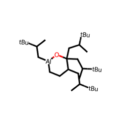 CC(CC1C[CH2][Al]([CH2]C(C)C(C)(C)C)[O]C1(CC(C)C(C)(C)C)CC(C)C(C)(C)C)C(C)(C)C